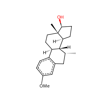 COc1ccc2c(c1)C[C@@H](C)[C@@H]1[C@@H]2CC[C@]2(C)[C@@H](O)CC[C@@H]12